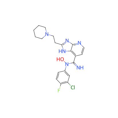 N=C(c1ccnc2nc(CCN3CCCCC3)[nH]c12)N(O)c1ccc(F)c(Cl)c1